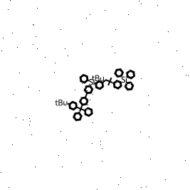 CC(C)(C)c1ccc(C(c2ccccc2)(c2ccccc2)c2ccc(-c3ccc([Si](c4ccccc4)(c4cccc(CC(C)(C)c5cccc([Si](c6ccccc6)(c6ccccc6)c6ccccc6)c5)c4)C(C)(C)C)cc3)cc2)cc1